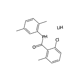 Cc1ccc(C)c(PC(=O)c2c(C)cccc2Cl)c1.[LiH]